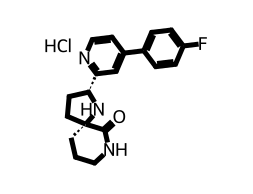 Cl.O=C1NCCC[C@@]12CC[C@H](c1cc(-c3ccc(F)cc3)ccn1)N2